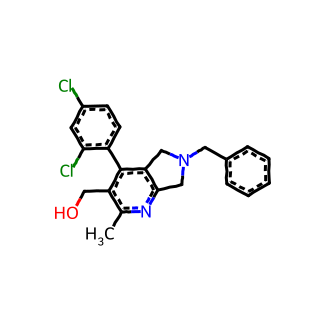 Cc1nc2c(c(-c3ccc(Cl)cc3Cl)c1CO)CN(Cc1ccccc1)C2